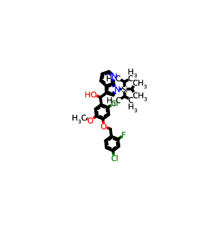 COc1cc(C(O)c2cn([Si](C(C)C)(C(C)C)C(C)C)c3ncccc23)c(Cl)cc1OCc1ccc(Cl)cc1F